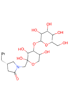 CC(C)C[C@H]1CC(=O)N(CC2(O)OCC(O)C(OC3OC(CO)C(O)C(O)C3O)C2O)C1